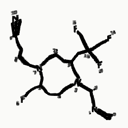 C=NCN1CC(F)N(CC#N)CC1C(F)(F)F